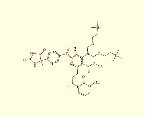 C=C(OCC)c1c(CC[C@@H](C)N(/C=C\C)C(=O)OC(C)(C)C)nc2c(-c3ccc(C4(C)NC(=O)NC4=O)nc3)cnn2c1N(COCC[Si](C)(C)C)COCC[Si](C)(C)C